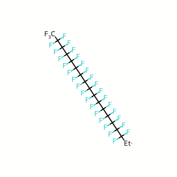 C[CH]C(F)(F)C(F)(F)C(F)(F)C(F)(F)C(F)(F)C(F)(F)C(F)(F)C(F)(F)C(F)(F)C(F)(F)C(F)(F)C(F)(F)C(F)(F)C(F)(F)C(F)(F)C(F)(F)F